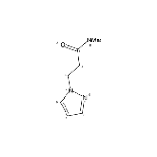 CNC(=O)CCn1cccn1